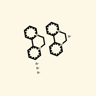 [Br-].[Br-].[Br-].[Br-].c1cc[n+]2c(c1)-c1cccc[n+]1CC2.c1cc[n+]2c(c1)-c1cccc[n+]1CC2